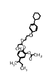 CCC(OCCOc1ccc(C2CCCCC2)cc1)Oc1ccc(C(C)CC)cc1OC(C)=O